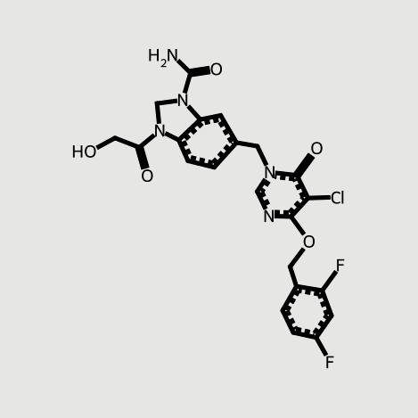 NC(=O)N1CN(C(=O)CO)c2ccc(Cn3cnc(OCc4ccc(F)cc4F)c(Cl)c3=O)cc21